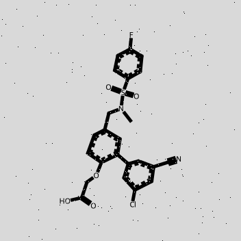 CN(Cc1ccc(OCC(=O)O)c(-c2cc(Cl)cc(C#N)c2)c1)S(=O)(=O)c1ccc(F)cc1